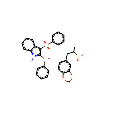 CCCCCCCC[S+]([O-])C(C)Cc1ccc2c(c1)OCO2.CCn1c([S+]([O-])c2ccccc2)c(S(=O)(=O)c2ccccc2)c2ccccc21